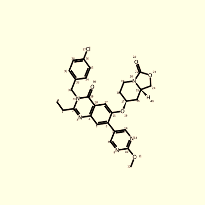 CCc1nc2cc(-c3cnc(OC)nc3)c(O[C@H]3CCN4C(=O)OC[C@@H]4C3)cc2c(=O)n1Cc1ccc(Cl)cc1